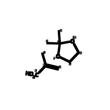 C=C(C)C(=O)O.CC1(C)OCCO1